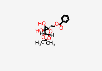 CC1(C)O[C@H]2O[C@]3(CCOC(=O)c4ccccc4)C(O)[C@@]3(O)[C@H]2O1